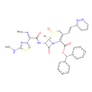 CO/N=C(/C(=O)NC1C(=O)N2C(C(=O)OC(c3ccccc3)c3ccccc3)=C(/C=C/c3cccnn3)C[S+]([O-])[C@H]12)c1csc(NC=O)n1